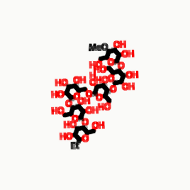 CCC1OC(CO)[C@@H](O[C@H]2OC(CO)[C@@H](O[C@H]3OC(CO[C@H]4OC(CO)[C@@H](O[C@H]5OC(CO)[C@@H](O[C@H]6OC(CO)[C@@H](OC)[C@H](O)C6O)[C@H](O)C5O)[C@H](O)C4O)[C@@H](O)[C@H](O)C3O)[C@H](O)C2O)[C@H](O)C1O